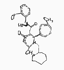 Cc1cccc(-c2c(C(=O)Nc3ccccc3Cl)c(=O)cc(C)n2CC2CCCCC2)c1